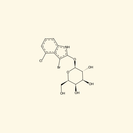 OC[C@H]1O[C@@H](Oc2[nH]c3cccc(Cl)c3c2Br)[C@H](O)[C@@H](O)[C@H]1O